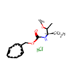 CC(OC(C)(C)C)[C@H](NC(=O)OCc1ccccc1)C(=O)O.Cl